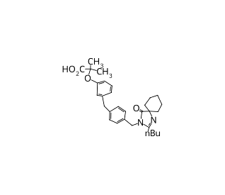 CCCCC1=NC2(CCCCC2)C(=O)N1Cc1ccc(Cc2cccc(OC(C)(C)C(=O)O)c2)cc1